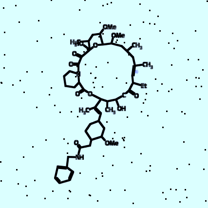 CCC1/C=C(\C)CC(C)CC(OC)C2OC(O)(C(=O)C(=O)N3CCCCC3C(=O)OC(C(C)=CC3CCC(CC(=O)NCc4ccccc4)C(OC)C3)C(C)C(O)CC1=O)C(C)CC2OC